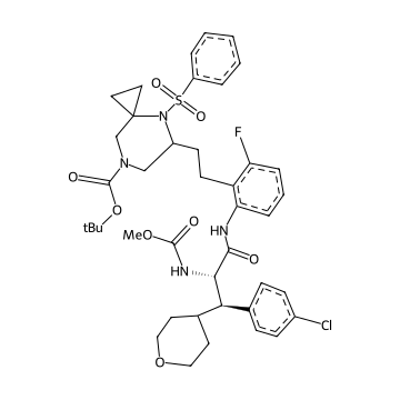 COC(=O)N[C@H](C(=O)Nc1cccc(F)c1CCC1CN(C(=O)OC(C)(C)C)CC2(CC2)N1S(=O)(=O)c1ccccc1)[C@@H](c1ccc(Cl)cc1)C1CCOCC1